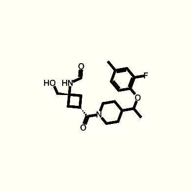 Cc1ccc(OC(C)C2CCN(C(=O)[C@H]3C[C@@](CO)(NC=O)C3)CC2)c(F)c1